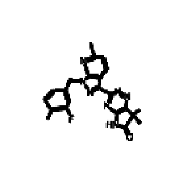 Cc1ccc2c(-c3nnc4c(n3)NC(=O)C4(C)C)nn(Cc3ccc(C)c(F)c3)c2n1